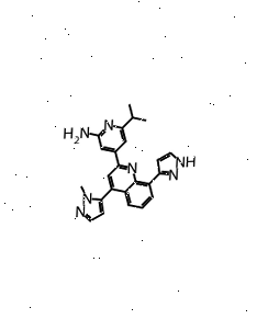 CC(C)c1cc(-c2cc(-c3ccnn3C)c3cccc(-c4cc[nH]n4)c3n2)cc(N)n1